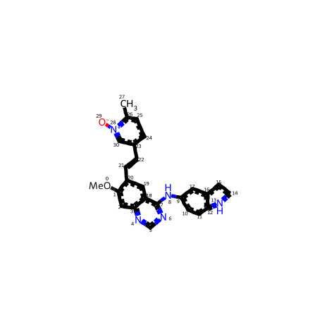 COc1cc2ncnc(Nc3ccc4[nH]ccc4c3)c2cc1C=Cc1ccc(C)[n+]([O-])c1